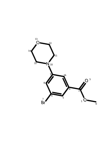 COC(=O)c1cc(Br)cc(N2CCOCC2)c1